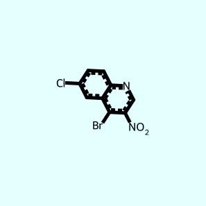 O=[N+]([O-])c1cnc2ccc(Cl)cc2c1Br